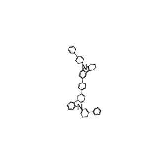 C1=CCC(C2=CCC(n3c4c(c5cc(C6C=CC(C7=CC=C8C(C7)c7ccccc7N8C7=CCCC(c8ccccc8)=C7)=CC6)ccc53)CCC=C4)C=C2)C=C1